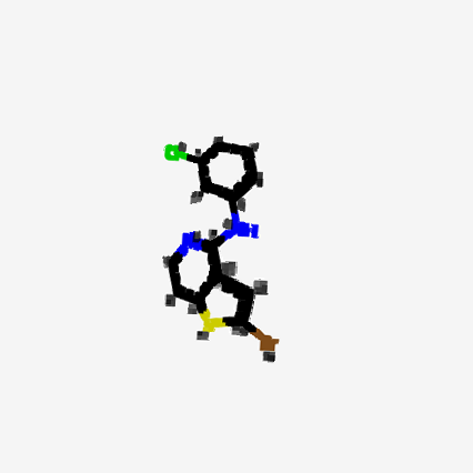 Clc1cccc(Nc2nccc3sc(Br)cc23)c1